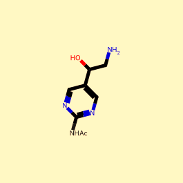 CC(=O)Nc1ncc(C(O)CN)cn1